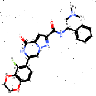 CN(C)C[C@@H](NC(=O)c1cc2c(=O)[nH]c(-c3ccc4c(c3F)OCCO4)cn2n1)c1ccccc1